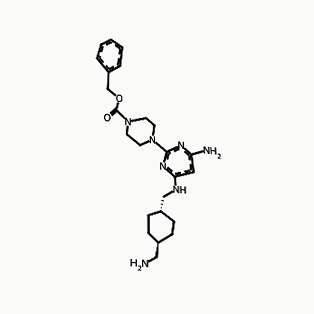 NC[C@H]1CC[C@H](CNc2cc(N)nc(N3CCN(C(=O)OCc4ccccc4)CC3)n2)CC1